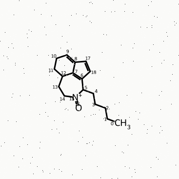 CCCCCC1C2=C3C(=CCCC3CC[N+]1=O)C=C2